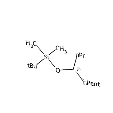 CCCCC[C@@H](CCC)O[Si](C)(C)C(C)(C)C